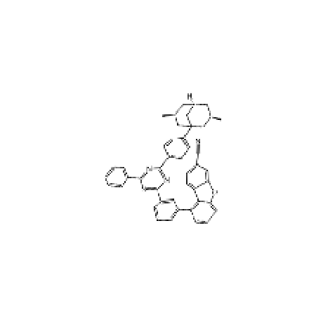 C[C@@H]1C[C@@H]2C[C@H](C)CC(c3ccc(-c4nc(-c5ccccc5)nc(-c5cccc(-c6cccc7oc8cc(C#N)ccc8c67)c5)n4)cc3)(C1)C2